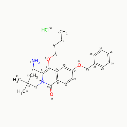 CCCCOc1c(CN)n(CC(C)(C)C)c(=O)c2ccc(OCc3ccccc3)cc12.Cl